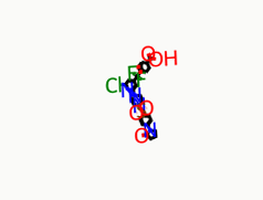 O=C(O)C1CC2CCC1CC2C(F)(F)c1cc(Cl)nc(N2CCN(S(=O)(=O)c3ccc(N4CCCC4=O)cc3)CC2)c1